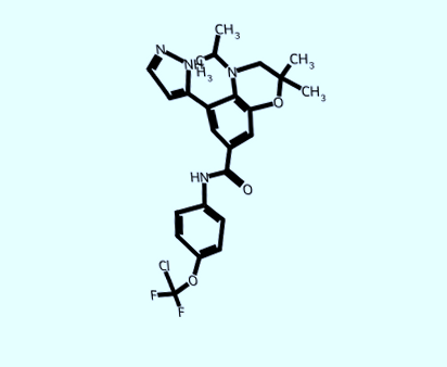 CC(C)N1CC(C)(C)Oc2cc(C(=O)Nc3ccc(OC(F)(F)Cl)cc3)cc(-c3ccn[nH]3)c21